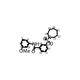 COc1cccc(NC(=O)c2cccc(S(=O)(=O)N3CCCCCC3)c2)c1